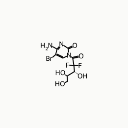 Nc1nc(=O)n(C(=O)C(F)(F)[C@H](O)[C@H](O)CO)cc1Br